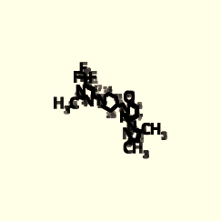 Cc1cc(C)n(-c2ccc(=O)n(C3CCN(c4cc(C(F)(F)F)nc(C)n4)CC3)n2)n1